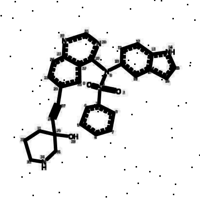 O=S(=O)(c1ccccc1)N(c1ccc2[nH]ccc2c1)c1ncnc2ccc(C#CC3(O)CCCNC3)cc12